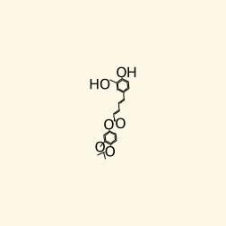 CC1(C)Oc2ccc(OC(=O)/C=C/C=C/c3ccc(O)c(CO)c3)cc2O1